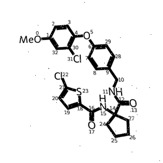 COc1ccc(Oc2ccc(CNC(=O)C3(NC(=O)c4ccc(Cl)s4)CCCC3)cc2)c(Cl)c1